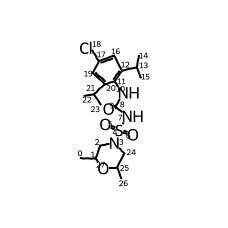 CC1CN(S(=O)(=O)NC(=O)Nc2c(C(C)C)cc(Cl)cc2C(C)C)CC(C)O1